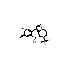 CCOc1cc(=O)n(C)cc1-c1cnn2c1CC(S(C)(=O)=O)CC2